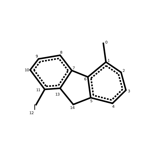 Cc1cccc2c1-c1cccc(I)c1C2